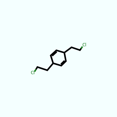 ClCCC1C=CC(CCCl)C=C1